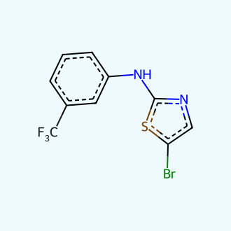 FC(F)(F)c1cccc(Nc2ncc(Br)s2)c1